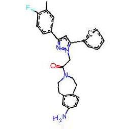 Cc1cc(-c2cc(-c3ccccc3)n(CC(=O)N3CCc4ccc(N)cc4CC3)n2)ccc1F